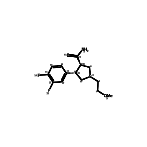 COCCN1C[C@H](C(N)=O)[C@@H](c2ccc(F)c(F)c2)C1